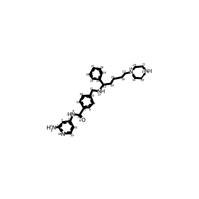 Nc1cc(NC(=O)c2ccc(CNC(CCCCN3CCNCC3)c3ccccc3)cc2)ccn1